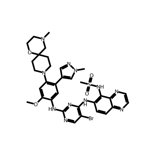 COc1cc(N2CCC3(CC2)CN(C)CCO3)c(-c2cnn(C)c2)cc1Nc1ncc(Br)c(Nc2ccc3nccnc3c2NS(C)(=O)=O)n1